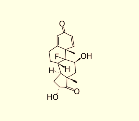 C[C@]12C=CC(=O)C=C1CC[C@H]1[C@@H]3C[C@@H](O)C(=O)[C@@]3(C)C[C@H](O)C12F